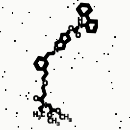 CCN(CC(OC)OC)C(=O)CCOCCc1cccc(CCN2CC3CC(OC(=O)Nc4ccccc4-c4ccccc4)CC3C2)c1